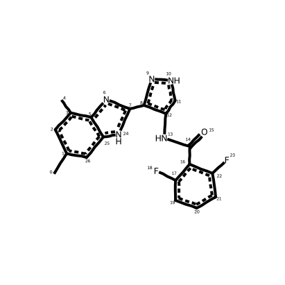 Cc1cc(C)c2nc(-c3n[nH]cc3NC(=O)c3c(F)cccc3F)[nH]c2c1